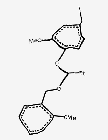 CCC(OCc1ccccc1OC)Oc1ccc(I)cc1OC